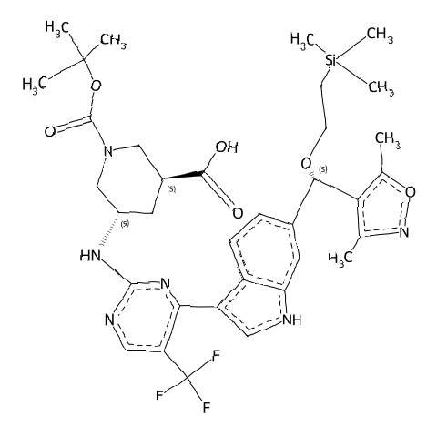 Cc1noc(C)c1[C@@H](OCC[Si](C)(C)C)c1ccc2c(-c3nc(N[C@H]4C[C@H](C(=O)O)CN(C(=O)OC(C)(C)C)C4)ncc3C(F)(F)F)c[nH]c2c1